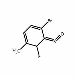 CC1=CC=C(Br)C(=S=O)C1F